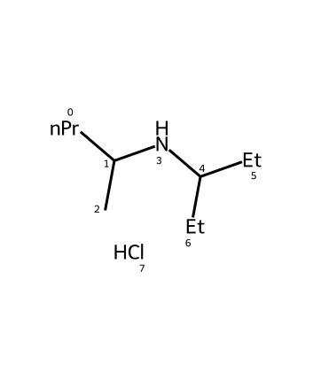 CCCC(C)NC(CC)CC.Cl